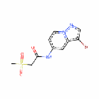 CS(=O)(=O)CC(=O)Nc1ccn2ncc(Br)c2c1